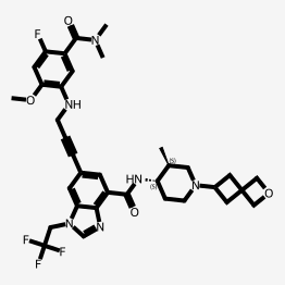 COc1cc(F)c(C(=O)N(C)C)cc1NCC#Cc1cc(C(=O)N[C@H]2CCN(C3CC4(COC4)C3)C[C@@H]2C)c2ncn(CC(F)(F)F)c2c1